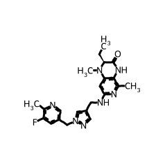 CC[C@H]1C(=O)Nc2c(cc(NCc3cnn(Cc4cnc(C)c(F)c4)c3)nc2C)N1C